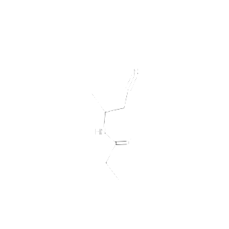 CCC(=O)NC(C)CC#N